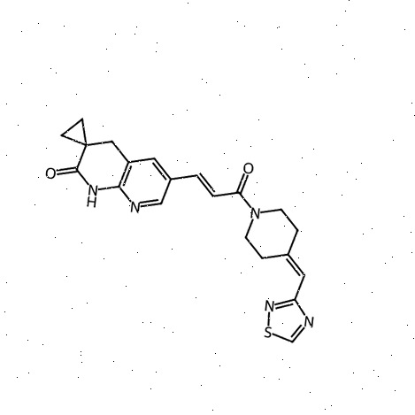 O=C(/C=C/c1cnc2c(c1)CC1(CC1)C(=O)N2)N1CCC(=Cc2ncsn2)CC1